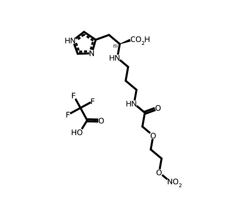 O=C(COCCO[N+](=O)[O-])NCCCN[C@@H](Cc1c[nH]cn1)C(=O)O.O=C(O)C(F)(F)F